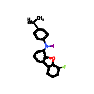 C[SiH](C)c1ccc(N(I)c2cccc3c2oc2c(F)cccc23)cc1